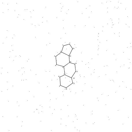 [CH]1CCC2CCC3C4CCCCC4CCC3C12